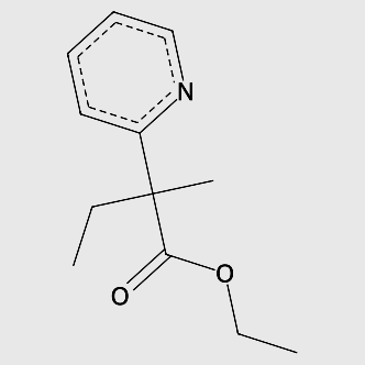 CCOC(=O)C(C)(CC)c1ccccn1